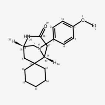 CCOc1ccc(N2C[C@@H]3CC4(CCCCC4)[C@H]2CC(=O)N3)cc1